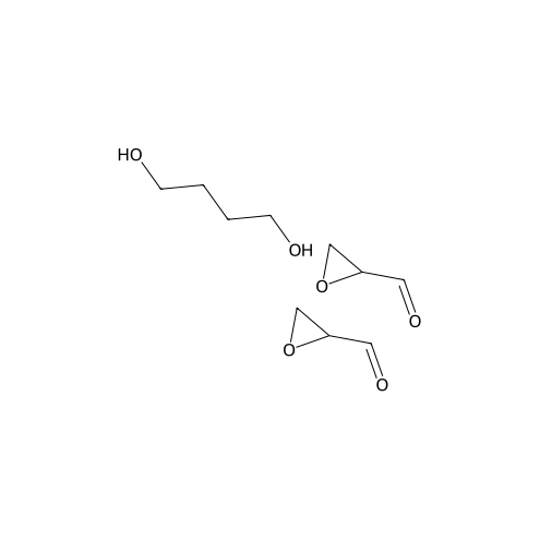 O=CC1CO1.O=CC1CO1.OCCCCO